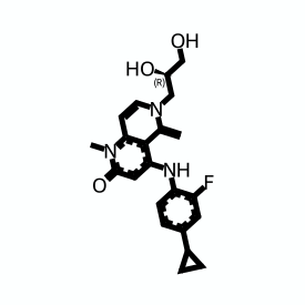 C=C1c2c(Nc3ccc(C4CC4)cc3F)cc(=O)n(C)c2C=CN1C[C@@H](O)CO